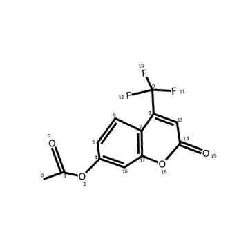 CC(=O)Oc1ccc2c(C(F)(F)F)cc(=O)oc2c1